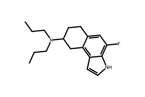 CCCN(CCC)C1CCc2cc(F)c3[nH]ccc3c2C1